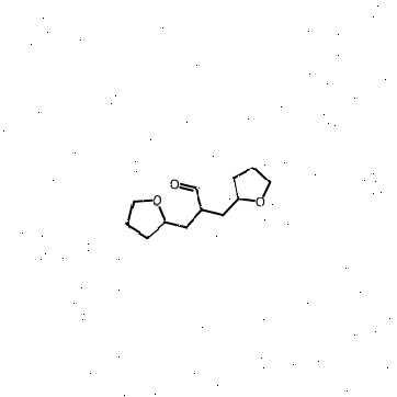 O=[C]C(CC1CCCO1)CC1CCCO1